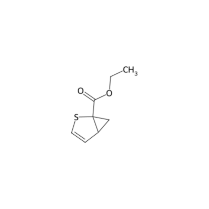 CCOC(=O)C12CC1C=CS2